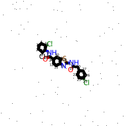 Cc1cccc(Cl)c1NC(=O)c1ccc2nc(NC(=O)Cc3ccc(Cl)cc3)sc2c1